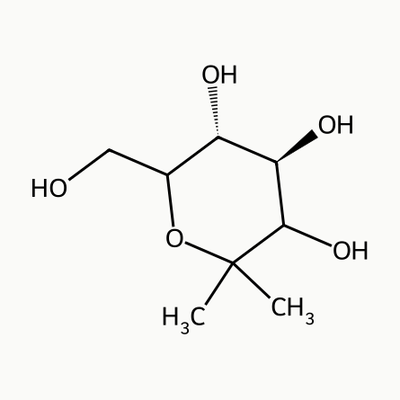 CC1(C)OC(CO)[C@H](O)[C@@H](O)C1O